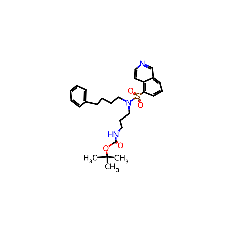 CC(C)(C)OC(=O)NCCCN(CCCCc1ccccc1)S(=O)(=O)c1cccc2cnccc12